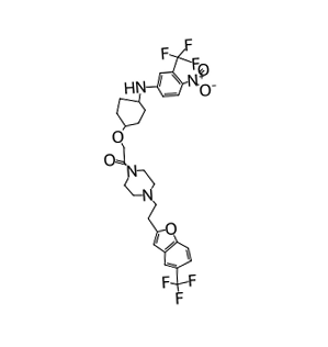 O=C(COC1CCC(Nc2ccc([N+](=O)[O-])c(C(F)(F)F)c2)CC1)N1CCN(CCc2cc3cc(C(F)(F)F)ccc3o2)CC1